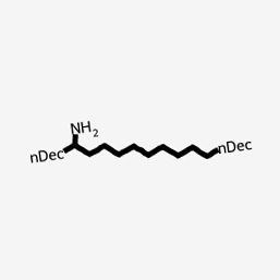 CCCCCCCCCCCCCCCCCCCC(N)CCCCCCCCCC